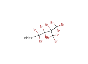 CCCCC[CH]C(Br)(Br)C(Br)(Br)C(Br)(C(Br)(Br)Br)C(Br)(Br)Br